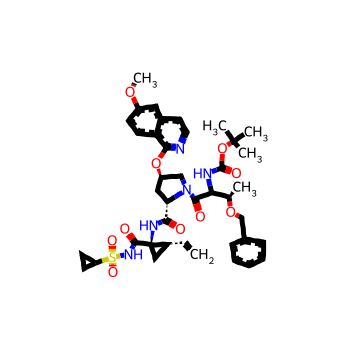 C=C[C@@H]1C[C@]1(NC(=O)[C@@H]1C[C@@H](Oc2nccc3cc(OC)ccc23)CN1C(=O)C(NC(=O)OC(C)(C)C)[C@@H](C)OCc1ccccc1)C(=O)NS(=O)(=O)C1CC1